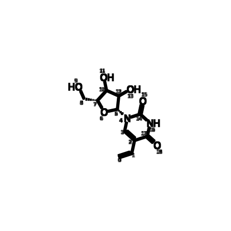 C=Cc1cn([C@@H]2O[C@H](CO)C(O)C2O)c(=O)[nH]c1=O